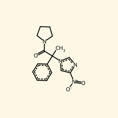 CC(C(=O)N1CCCC1)(c1ccccc1)n1cnc([N+](=O)[O-])c1